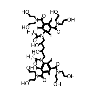 CC(=O)N(CC(O)CC(O)CN(C(C)=O)c1c(I)c(C(=O)N(CCO)CCO)c(I)c(C(=O)N(CCO)CCO)c1I)c1c(I)c(C(=O)N(CCO)CCO)c(I)c(C(=O)N(CCO)CCO)c1I